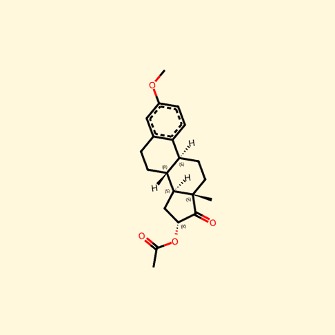 COc1ccc2c(c1)CC[C@@H]1[C@@H]2CC[C@]2(C)C(=O)[C@H](OC(C)=O)C[C@@H]12